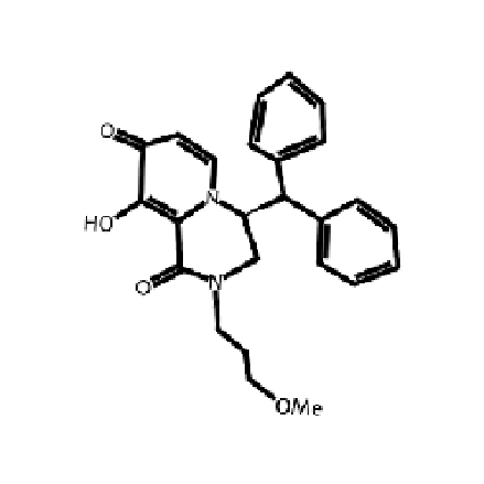 COCCCN1C[C@H](C(c2ccccc2)c2ccccc2)n2ccc(=O)c(O)c2C1=O